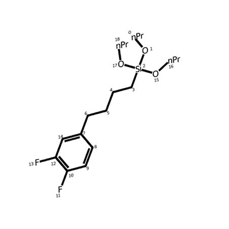 CCCO[Si](CCCCc1ccc(F)c(F)c1)(OCCC)OCCC